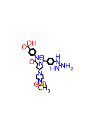 CS(=O)(=O)N1CCN(C2CC(C(=O)Nc3ccc(C(=O)O)cc3)N(C(=O)c3ccc(NC(=N)N)cc3)C2)CC1